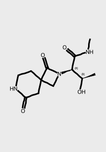 CNC(=O)[C@@H]([C@@H](C)O)N1CC2(CCNC(=O)C2)C1=O